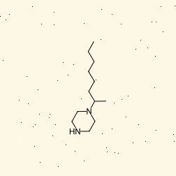 CCCCCCC(C)N1CCNCC1